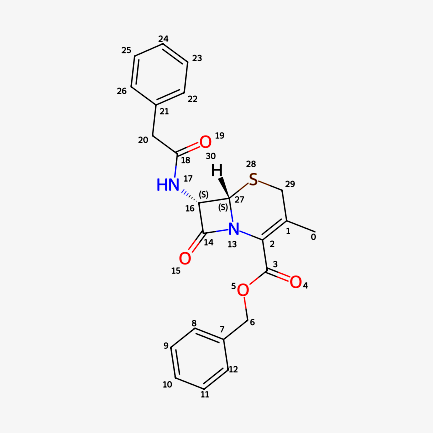 CC1=C(C(=O)OCc2ccccc2)N2C(=O)[C@H](NC(=O)Cc3ccccc3)[C@@H]2SC1